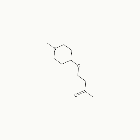 CC(=O)CCOC1CCN(C)CC1